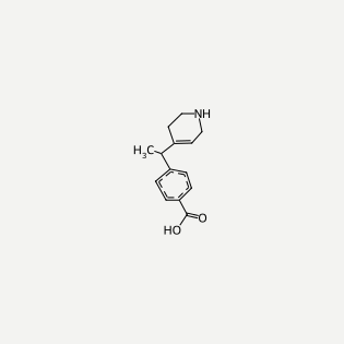 CC(C1=CCNCC1)c1ccc(C(=O)O)cc1